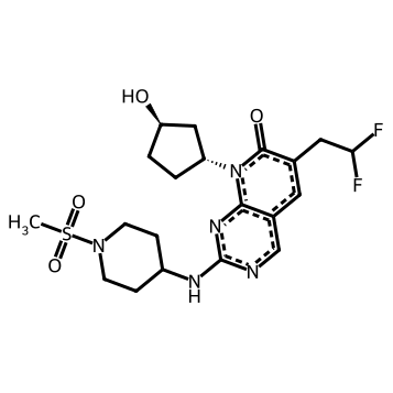 CS(=O)(=O)N1CCC(Nc2ncc3cc(CC(F)F)c(=O)n([C@@H]4CC[C@@H](O)C4)c3n2)CC1